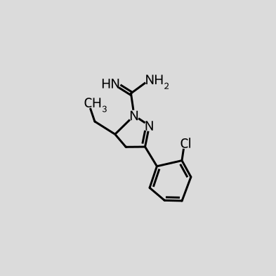 CCC1CC(c2ccccc2Cl)=NN1C(=N)N